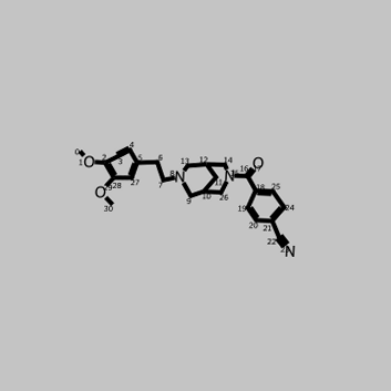 COc1ccc(CCN2CC3CC(C2)CN(C(=O)c2ccc(C#N)cc2)C3)cc1OC